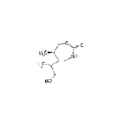 CC(CO)C1CNC(=O)OC[C@@H]1C